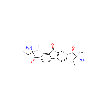 CCC(N)(CC)C(=O)c1ccc2c(c1)C(=O)c1cc(C(=O)C(N)(CC)CC)ccc1-2